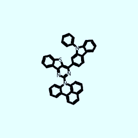 c1ccc(-n2c3ccccc3c3ccc(-c4nc(N5c6ccccc6-c6cccc7cccc5c67)nc5c4sc4ccccc45)cc32)cc1